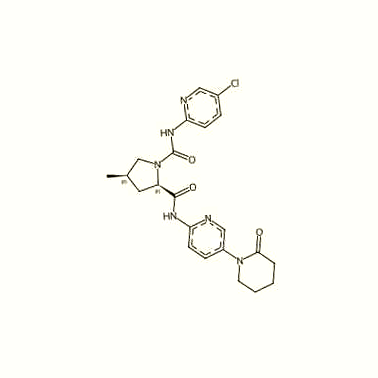 C[C@@H]1C[C@H](C(=O)Nc2ccc(N3CCCCC3=O)cn2)N(C(=O)Nc2ccc(Cl)cn2)C1